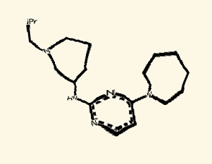 CC(C)CN1CCCC(Nc2nccc(N3CCCCCC3)n2)C1